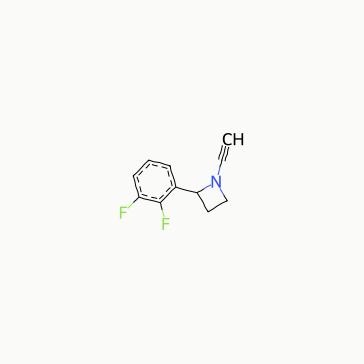 C#CN1CCC1c1cccc(F)c1F